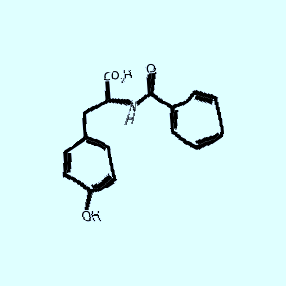 O=C(O)[C](Cc1ccc(O)cc1)NC(=O)c1ccccc1